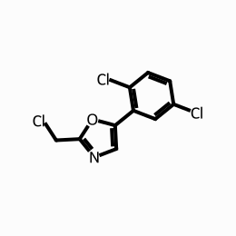 ClCc1ncc(-c2cc(Cl)ccc2Cl)o1